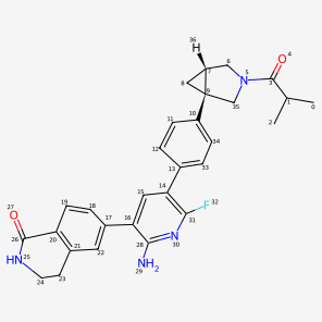 CC(C)C(=O)N1C[C@H]2C[C@@]2(c2ccc(-c3cc(-c4ccc5c(c4)CCNC5=O)c(N)nc3F)cc2)C1